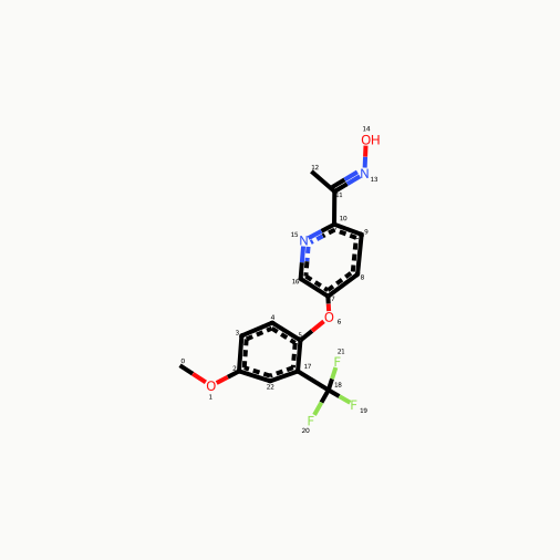 COc1ccc(Oc2ccc(/C(C)=N/O)nc2)c(C(F)(F)F)c1